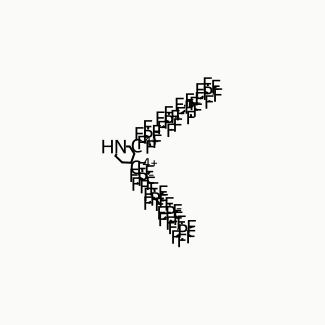 C1CCNCC1.F[P-](F)(F)(F)(F)F.F[P-](F)(F)(F)(F)F.F[P-](F)(F)(F)(F)F.F[P-](F)(F)(F)(F)F.F[P-](F)(F)(F)(F)F.F[P-](F)(F)(F)(F)F.F[P-](F)(F)(F)(F)F.F[P-](F)(F)(F)(F)F.[C+4].[C+4]